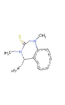 CC1c2ccccc2N(C)C(=S)N1C